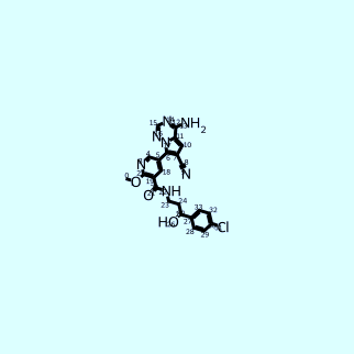 COc1ncc(-c2c(C#N)cc3c(N)ncnn23)cc1C(=O)NCC[C@@H](O)c1ccc(Cl)cc1